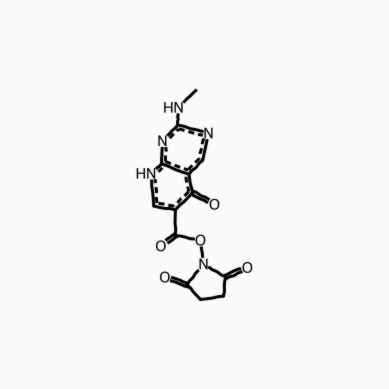 CNc1ncc2c(=O)c(C(=O)ON3C(=O)CCC3=O)c[nH]c2n1